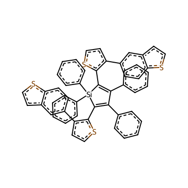 c1ccc(C2=C(c3sccc3-c3ccc4sccc4c3)[Si](c3ccccc3)(c3ccccc3)C(c3sccc3-c3ccc4sccc4c3)=C2c2ccccc2)cc1